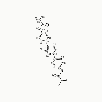 C=C(C)C(=O)Sc1ccc(-c2ccc(-c3ccc(SC(=O)C(=C)C)cc3)c(C)c2)cc1